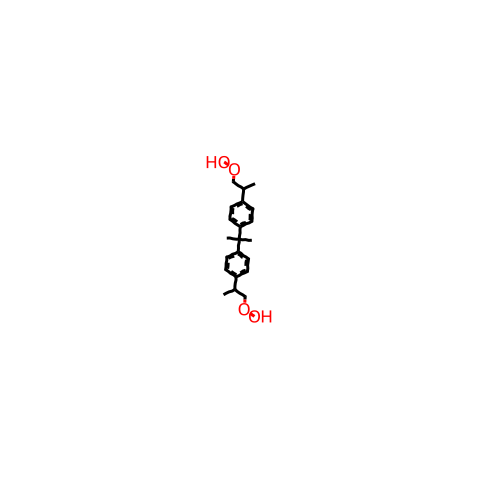 CC(COO)c1ccc(C(C)(C)c2ccc(C(C)COO)cc2)cc1